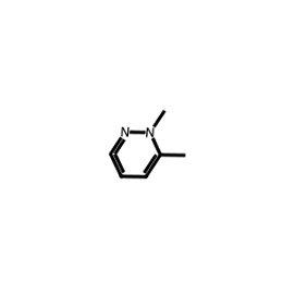 CC1=CC=C=NN1C